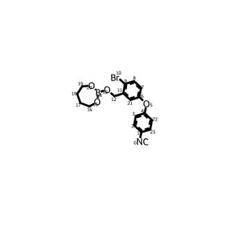 [C-]#[N+]c1ccc(Oc2ccc(Br)c(COB3OCCCCO3)c2)cc1